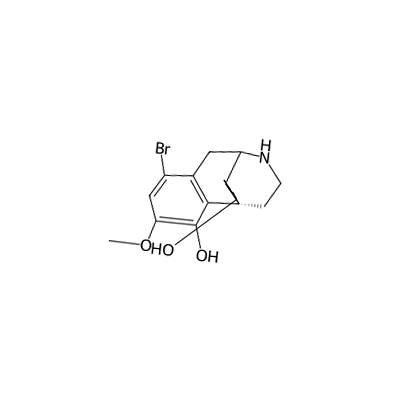 COc1cc(Br)c2c(c1O)[C@]13CCNC(C2)C1CCC(O)C3